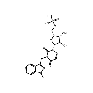 Cn1nc(Cn2c(=O)ccn([C@@H]3O[C@H](COP(=O)(O)O)[C@H](O)C3O)c2=O)c2ccccc21